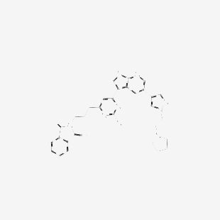 Nc1nc(CCCN2C(=O)c3ccccc3C2=O)cc(-c2c[nH]c3ncc(-c4cnn(CCN5CCCC5)c4)cc23)n1